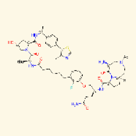 CC(=O)N1CC[C@H]2CC[C@@H](C(=O)N[C@@H](CCC(N)=O)COc3cccc(CCCCCC(=O)N[C@H](C(=O)N4C[C@H](O)C[C@H]4C(=O)N[C@@H](C)c4ccc(-c5scnc5C)cc4)C(C)(C)C)c3F)N2C(=O)[C@@H](N)C1